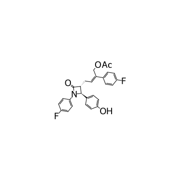 CC(=O)OC/C(=C\C[C@H]1C(=O)N(c2ccc(F)cc2)[C@@H]1c1ccc(O)cc1)c1ccc(F)cc1